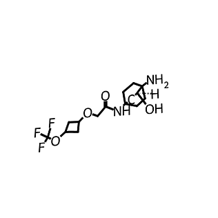 NC12CCC(NC(=O)COC3CC(OC(F)(F)F)C3)(CC1)C[C@@H]2O